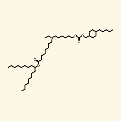 CCCCCCCCC(CCCCCCCC)OC(=O)CCCCCCCN(CC)CCCCCCOC(=O)OCC1CCC(CCCCC)CC1